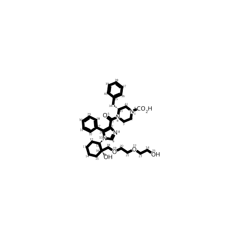 O=C(O)N1CCN(C(=O)c2ncn([C@H]3CCCC[C@]3(O)COCCOCCO)c2-c2ccccc2)[C@H](Cc2ccccc2)C1